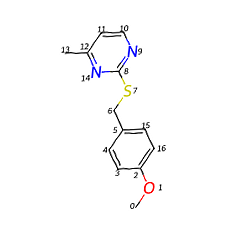 COc1ccc(CSc2nccc(C)n2)cc1